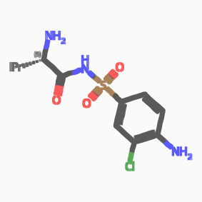 CC(C)[C@H](N)C(=O)NS(=O)(=O)c1ccc(N)c(Cl)c1